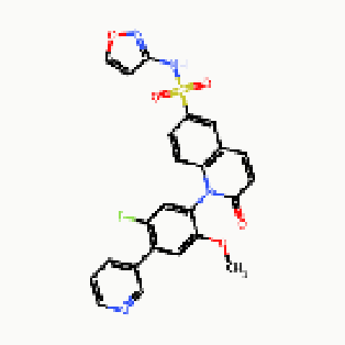 COc1cc(-c2cccnc2)c(F)cc1-n1c(=O)ccc2cc(S(=O)(=O)Nc3ccon3)ccc21